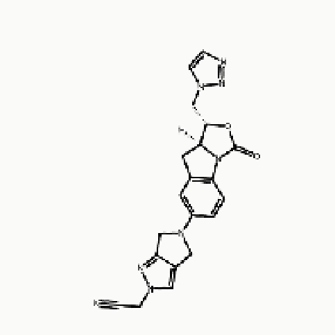 N#CCn1cc2c(n1)CN(c1ccc3c(c1)C[C@H]1[C@H](Cn4ccnn4)OC(=O)N31)C2